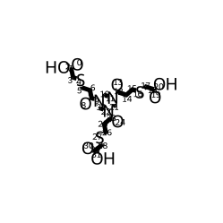 O=C(O)CSCCC(=O)N1CN(C(=O)CCSCC(=O)O)CN(C(=O)CCSCC(=O)O)C1